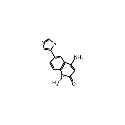 Cn1c(=O)cc(N)c2cc(-c3cncs3)ccc21